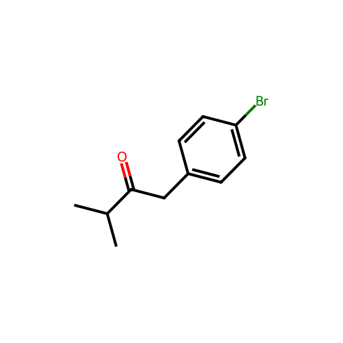 CC(C)C(=O)Cc1ccc(Br)cc1